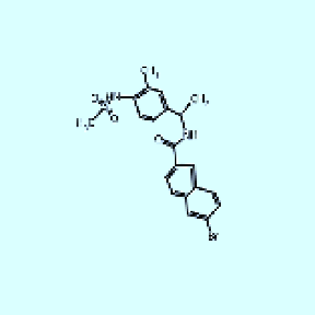 Cc1cc([C@@H](C)NC(=O)c2ccc3cc(Br)ccc3c2)ccc1NS(C)(=O)=O